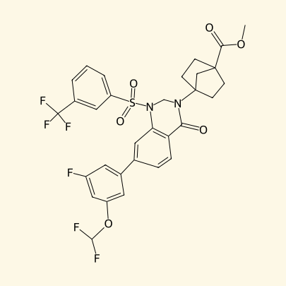 COC(=O)C12CCC(N3CN(S(=O)(=O)c4cccc(C(F)(F)F)c4)c4cc(-c5cc(F)cc(OC(F)F)c5)ccc4C3=O)(CC1)C2